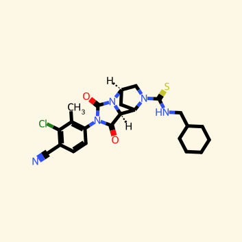 Cc1c(N2C(=O)[C@@H]3C4C[C@H](CN4C(=S)NCC4CCCCC4)N3C2=O)ccc(C#N)c1Cl